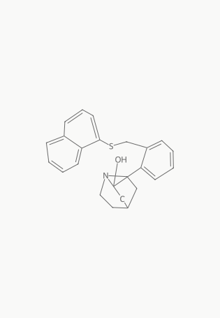 OC1(c2ccccc2CSc2cccc3ccccc23)CC2CCN1CC2